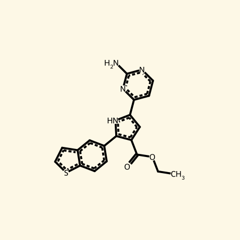 CCOC(=O)c1cc(-c2ccnc(N)n2)[nH]c1-c1ccc2sccc2c1